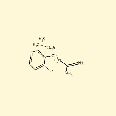 CC(=O)O.CCc1ccccc1C.N=C(N)N.S